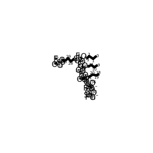 CCCC[O][Sb](=[O])([O-])[F].CCCC[O][Sb](=[O])([O-])[F].CCCC[O][Sb](=[O])([O-])[F].CCCC[O][Sb](=[O])([O-])[F].[O]=[Sb]([O-])([O-])[F].[O]=[Sb]([O-])([O-])[F]